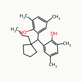 CCCC1(C(c2cc(C)cc(C)c2O)c2cc(C)cc(C)c2O)CCCC1